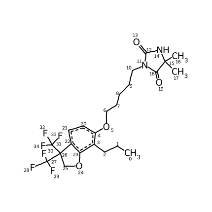 CCCc1c(OCCCCCN2C(=O)NC(C)(C)C2=O)ccc2c1OCC2(C(F)(F)F)C(F)(F)F